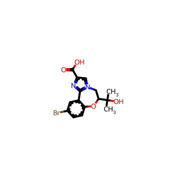 CC(C)(O)C1Cn2cc(C(=O)O)nc2-c2cc(Br)ccc2O1